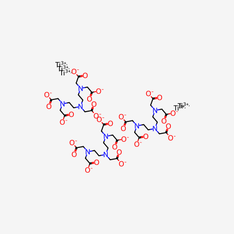 O=C([O-])CN(CCN(CC(=O)[O-])CC(=O)[O-])CCN(CC(=O)[O-])CC(=O)[O-].O=C([O-])CN(CCN(CC(=O)[O-])CC(=O)[O-])CCN(CC(=O)[O-])CC(=O)[O-].O=C([O-])CN(CCN(CC(=O)[O-])CC(=O)[O-])CCN(CC(=O)[O-])CC(=O)[O-].[Ti+3].[Ti+3].[Ti+3].[Ti+3].[Ti+3]